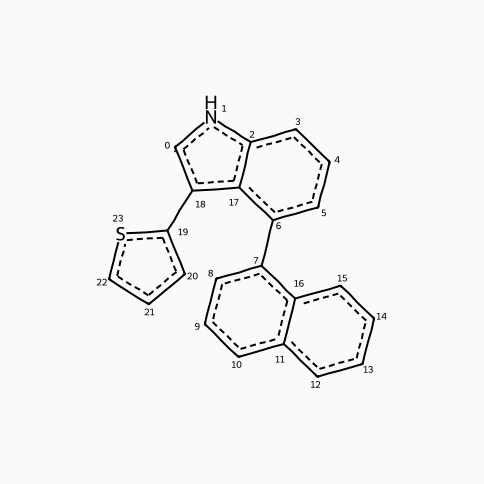 [c]1[nH]c2cccc(-c3cccc4ccccc34)c2c1-c1cccs1